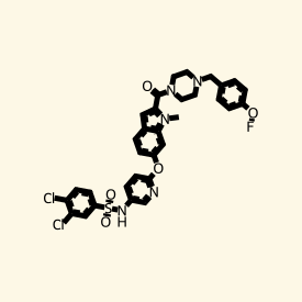 Cn1c(C(=O)N2CCN(Cc3ccc(OF)cc3)CC2)cc2ccc(Oc3ccc(NS(=O)(=O)c4ccc(Cl)c(Cl)c4)cn3)cc21